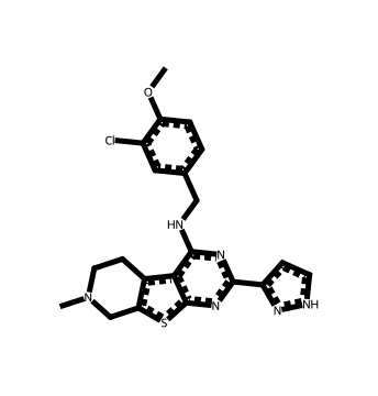 COc1ccc(CNc2nc(-c3cc[nH]n3)nc3sc4c(c23)CCN(C)C4)cc1Cl